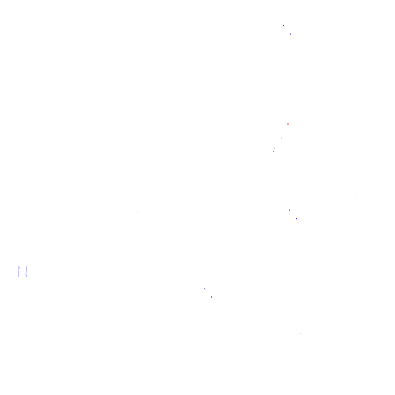 CC(C)c1c(-c2ccc(C#N)cc2)c(N2c3ccccc3Sc3ccccc32)c(C(C)C)c(N2c3ccccc3Sc3ccccc32)c1-c1ccc(C#N)cc1